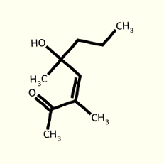 CCCC(C)(O)C=C(C)C(C)=O